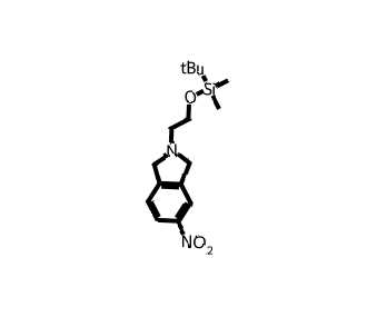 CC(C)(C)[Si](C)(C)OCCN1Cc2ccc([N+](=O)[O-])cc2C1